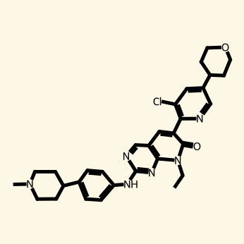 CCn1c(=O)c(-c2ncc(C3CCOCC3)cc2Cl)cc2cnc(Nc3ccc(C4CCN(C)CC4)cc3)nc21